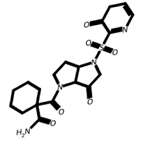 NC(=O)C1(C(=O)N2CCC3C2C(=O)CN3S(=O)(=O)C2=NC=CCC2=O)CCCCC1